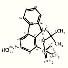 CC(C)(C)[NH][Zr]([CH3])([CH3])(=[SiH2])[c]1cccc2c1Cc1ccccc1-2.Cl.Cl